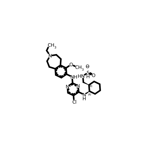 CCN1CCc2ccc(Nc3ncc(Cl)c(N[C@@H]4CCCC[C@@H]4CN[SH](=O)=O)n3)c(OC)c2CC1